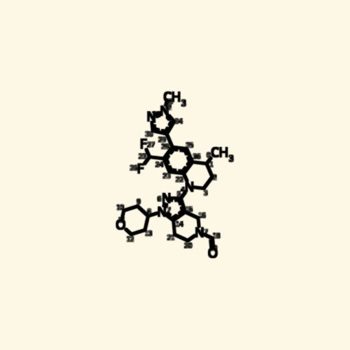 CC1CCN(c2nn(C3CCOCC3)c3c2CN(C=O)CC3)c2cc(C(F)F)c(-c3cnn(C)c3)cc21